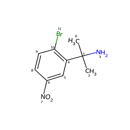 CC(C)(N)c1cc([N+](=O)[O-])ccc1Br